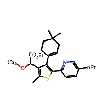 CCCc1ccc(-c2sc(C)c(C(OC(C)(C)C)C(=O)OCC)c2C2=CCC(C)(C)CC2)nc1